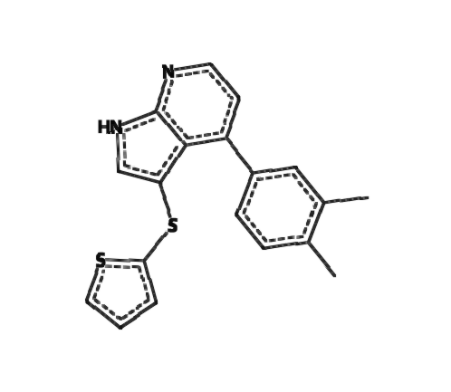 Cc1ccc(-c2ccnc3[nH]cc(Sc4cccs4)c23)cc1C